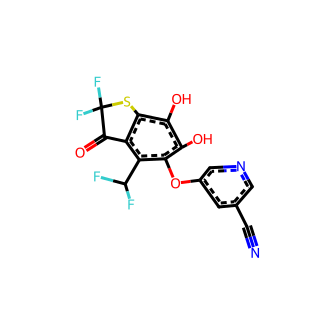 N#Cc1cncc(Oc2c(O)c(O)c3c(c2C(F)F)C(=O)C(F)(F)S3)c1